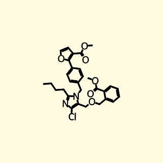 CCCCc1nc(Cl)c(COCc2ccccc2C(=O)OC)n1Cc1ccc(-c2occc2C(=O)OC)cc1